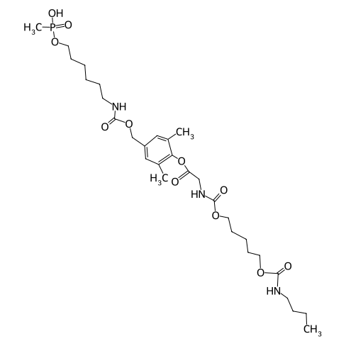 CCCCNC(=O)OCCCCCOC(=O)NCC(=O)Oc1c(C)cc(COC(=O)NCCCCCCOP(C)(=O)O)cc1C